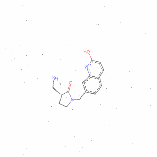 NC[C@@H]1CCN(Cc2ccc3ccc(O)nc3c2)C1=O